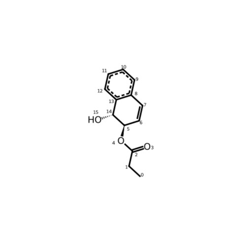 CCC(=O)O[C@@H]1C=Cc2ccccc2[C@H]1O